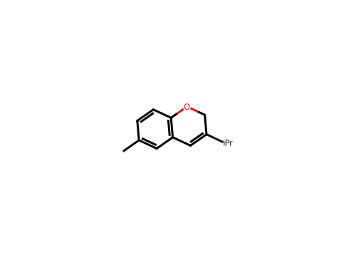 Cc1ccc2c(c1)C=C(C(C)C)CO2